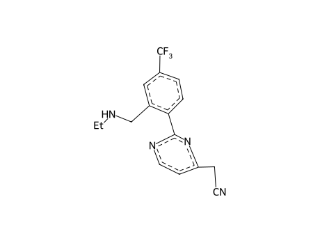 CCNCc1cc(C(F)(F)F)ccc1-c1nccc(CC#N)n1